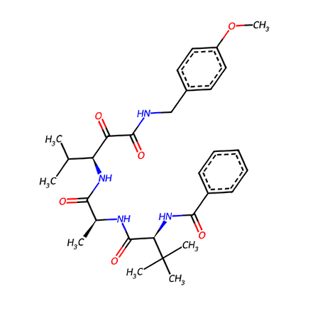 COc1ccc(CNC(=O)C(=O)[C@@H](NC(=O)[C@H](C)NC(=O)[C@@H](NC(=O)c2ccccc2)C(C)(C)C)C(C)C)cc1